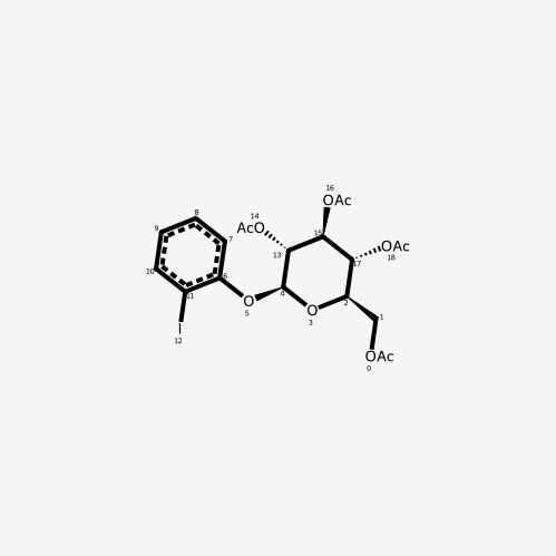 CC(=O)OC[C@H]1O[C@@H](Oc2ccccc2I)[C@H](OC(C)=O)[C@@H](OC(C)=O)[C@@H]1OC(C)=O